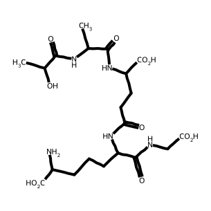 CC(O)C(=O)NC(C)C(=O)NC(CCC(=O)NC(CCCC(N)C(=O)O)C(=O)NCC(=O)O)C(=O)O